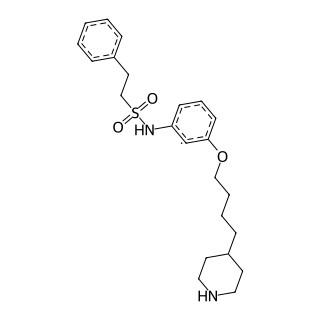 O=S(=O)(CCc1ccccc1)Nc1[c]c(OCCCCC2CCNCC2)ccc1